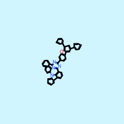 c1ccc(-c2cc(-c3ccccc3)c3oc4cc(-c5nc(-c6ccccc6)nc(-c6cccc7c8ccccc8n(-c8ccccc8)c67)n5)ccc4c3c2)cc1